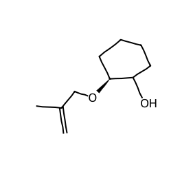 C=C(C)CO[C@H]1CCCCC1O